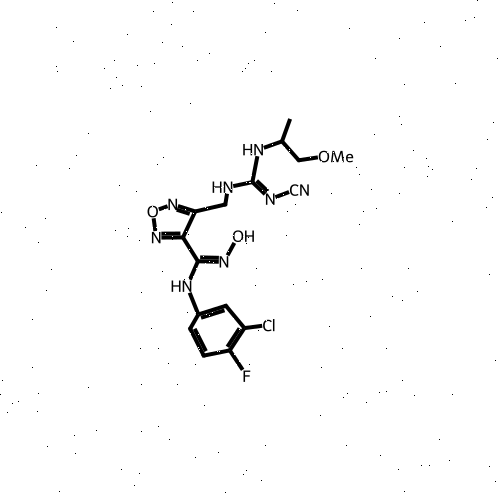 COCC(C)NC(=NC#N)NCc1nonc1C(=NO)Nc1ccc(F)c(Cl)c1